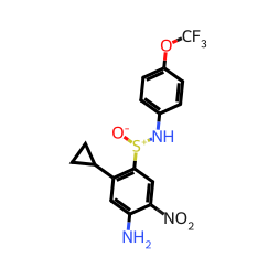 Nc1cc(C2CC2)c([S+]([O-])Nc2ccc(OC(F)(F)F)cc2)cc1[N+](=O)[O-]